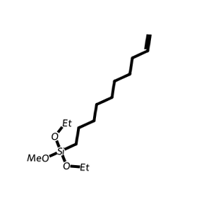 C=CCCCCCCCC[Si](OC)(OCC)OCC